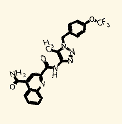 Cc1c(NC(=O)c2cc(C(N)=O)c3ccccc3n2)nnn1Cc1ccc(OC(F)(F)F)cc1